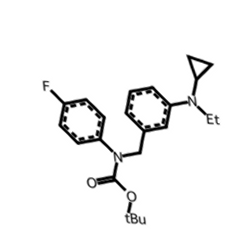 CCN(c1cccc(CN(C(=O)OC(C)(C)C)c2ccc(F)cc2)c1)C1CC1